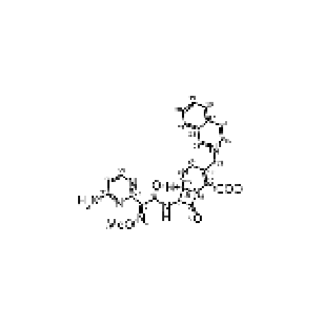 CON=C(C(=O)NC1C(=O)N2C(C(=O)[O-])=C(C[n+]3ccc4ccccc4c3)CS[C@@H]12)c1nccc(N)n1